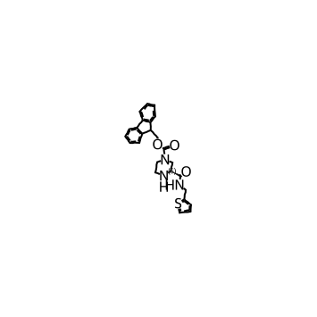 O=C(NCc1cccs1)[C@@H]1CN(C(=O)OCC2c3ccccc3-c3ccccc32)CCN1